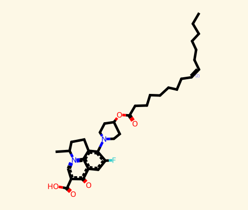 CCCCCC/C=C\CCCCCCCC(=O)OC1CCN(c2c(F)cc3c(=O)c(C(=O)O)cn4c3c2CCC4C)CC1